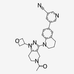 CC(=O)N1CCc2c(c(N3CCCc4cc(-c5cncc(C#N)c5)ccc43)nn2C2COC2)C1